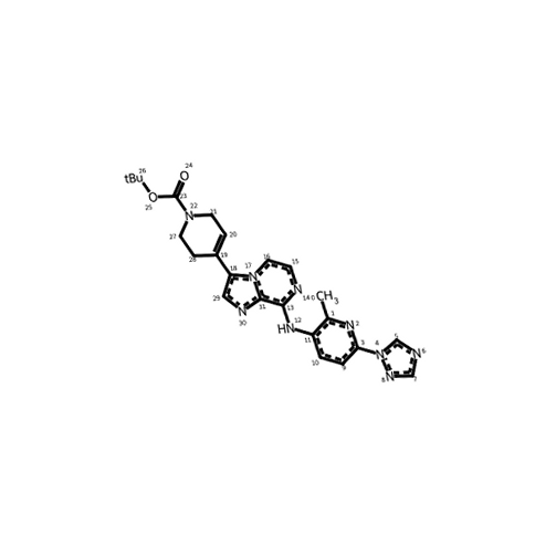 Cc1nc(-n2cncn2)ccc1Nc1nccn2c(C3=CCN(C(=O)OC(C)(C)C)CC3)cnc12